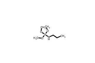 CCCN[Si](OC)(OC)OC